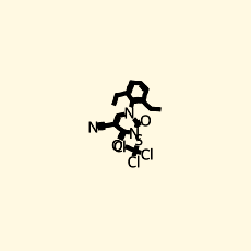 CCc1cccc(CC)c1-n1cc(C#N)c(=O)n(SC(Cl)(Cl)Cl)c1=O